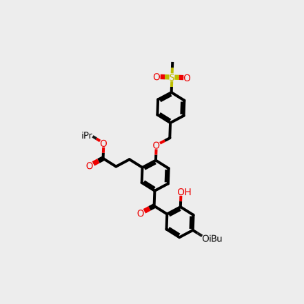 CC(C)COc1ccc(C(=O)c2ccc(OCc3ccc(S(C)(=O)=O)cc3)c(CCC(=O)OC(C)C)c2)c(O)c1